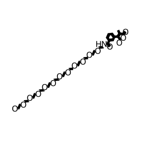 COCCOCCOCCOCCOCCOCCOCCOCCOCCOCCOCCOCCNC(=O)c1cccc(C2=C(C)C(=O)OC2=O)c1